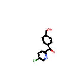 O=C(c1ccc(CO)cc1)c1ccc(Cl)cn1